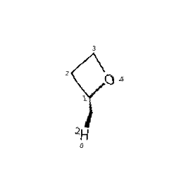 [2H][C@H]1CCO1